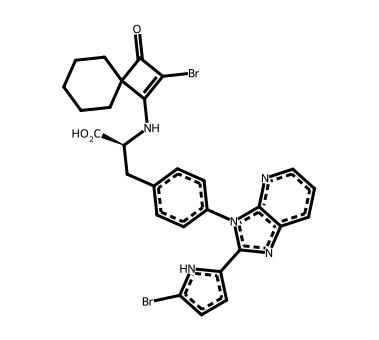 O=C(O)[C@H](Cc1ccc(-n2c(-c3ccc(Br)[nH]3)nc3cccnc32)cc1)NC1=C(Br)C(=O)C12CCCCC2